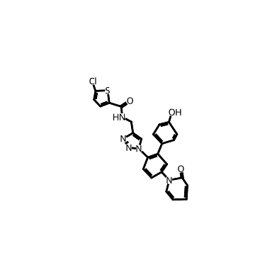 O=C(NCc1cn(-c2ccc(-n3ccccc3=O)cc2-c2ccc(O)cc2)nn1)c1ccc(Cl)s1